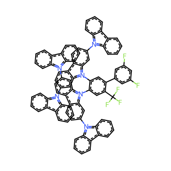 Fc1cc(F)cc(-c2cc(-n3c4cc(-n5c6ccccc6c6ccccc65)ccc4c4ccc(-n5c6ccccc6c6ccccc65)cc43)c(-n3c4cc(-n5c6ccccc6c6ccccc65)ccc4c4ccc(-n5c6ccccc6c6ccccc65)cc43)cc2C(F)(F)F)c1